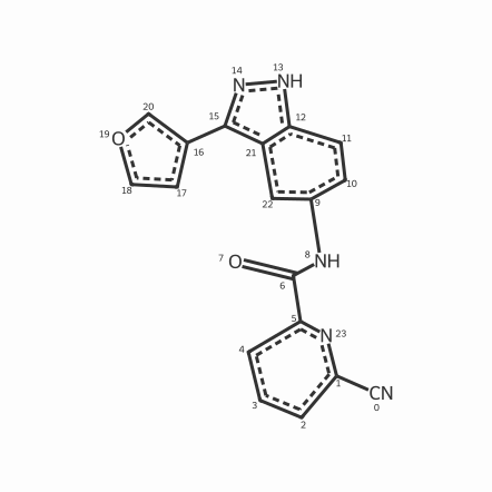 N#Cc1cccc(C(=O)Nc2ccc3[nH]nc(-c4ccoc4)c3c2)n1